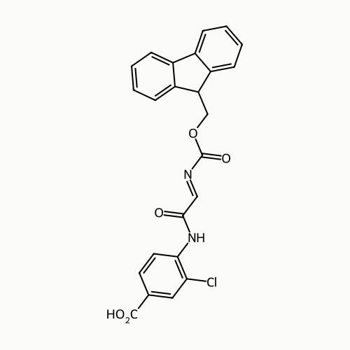 O=C(/C=N/C(=O)OCC1c2ccccc2-c2ccccc21)Nc1ccc(C(=O)O)cc1Cl